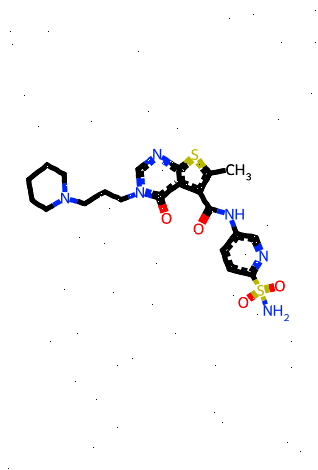 Cc1sc2ncn(CCCN3CCCCC3)c(=O)c2c1C(=O)Nc1ccc(S(N)(=O)=O)nc1